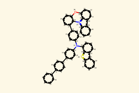 c1ccc(-c2ccc(-c3ccc(N(c4ccc(-c5cccc6c5-n5c7ccccc7c7cccc(c75)O6)cc4)c4cccc5c4sc4ccccc45)cc3)cc2)cc1